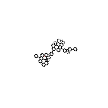 CC1c2oc3ccc4cc(-c5ccc6sc7c(-c8oc9ccc%10ccccc%10c9c8-c8c9ccccc9c(-c9ccccc9)c9ccccc89)cccc7c6c5)ccc4c3c2-c2c3ccccc3c(-c3ccc4oc5cc(-c6ccccc6)ccc5c4c3)c3cccc1c23